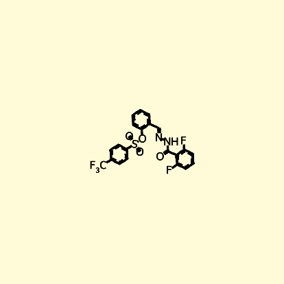 O=C(N/N=C/c1ccccc1OS(=O)(=O)c1ccc(C(F)(F)F)cc1)c1c(F)cccc1F